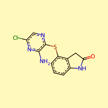 Nc1nc(Cl)cnc1Sc1cccc2c1CC(=O)N2